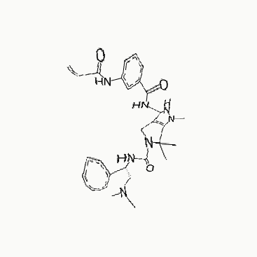 C=CC(=O)Nc1cccc(C(=O)NC2NN(C)C3=C2CN(C(=O)N[C@H](CN(C)C)c2ccccc2)C3(C)C)c1